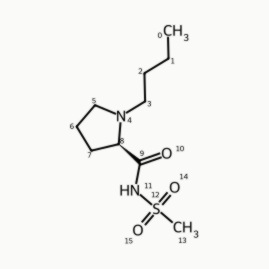 CCCCN1CCC[C@@H]1C(=O)NS(C)(=O)=O